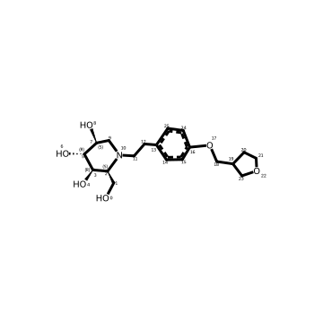 OC[C@H]1[C@@H](O)[C@H](O)[C@@H](O)CN1CCc1ccc(OCC2CCOC2)cc1